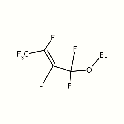 CCOC(F)(F)C(F)=C(F)C(F)(F)F